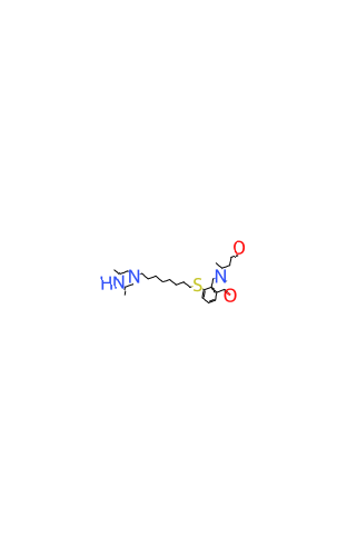 CC1CN(CCCCCCCCSc2cccc(C=O)c2CN(C)C(C)CCC=O)CC(C)N1